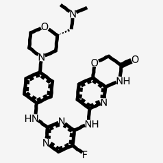 CN(C)C[C@@H]1CN(c2ccc(Nc3ncc(F)c(Nc4ccc5c(n4)NC(=O)CO5)n3)cc2)CCO1